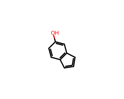 Oc1ccc2c(c1)C=C=C2